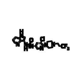 O=C(Nc1cnc(N2CCN(CCC(F)(F)F)CC2)c(Cl)c1)Nc1c[nH]c2cccnc12